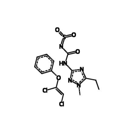 CCc1nc(NC(=O)N=S(=O)=O)nn1C.ClC=C(Cl)Oc1ccccc1